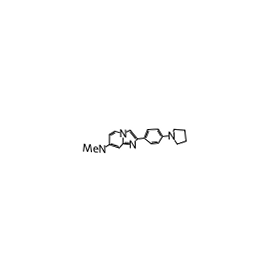 CNc1ccn2cc(-c3ccc(N4CCCC4)cc3)nc2c1